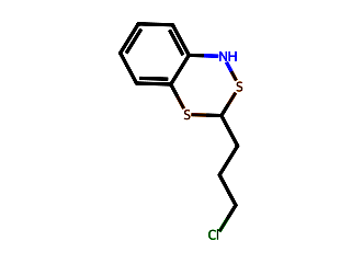 ClCCCC1SNc2ccccc2S1